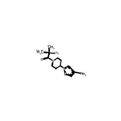 CC(C)(C)C(=O)N1CCC(n2cc(N)cn2)CC1